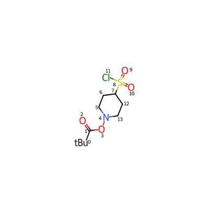 CC(C)(C)C(=O)ON1CCC(S(=O)(=O)Cl)CC1